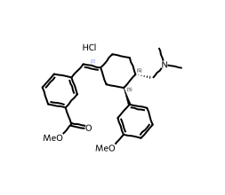 COC(=O)c1cccc(/C=C2/CC[C@H](CN(C)C)[C@@H](c3cccc(OC)c3)C2)c1.Cl